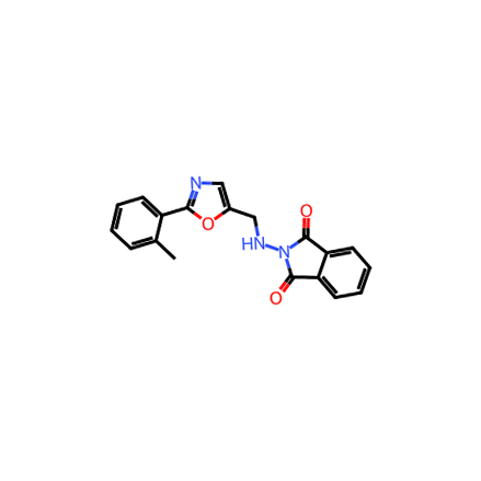 Cc1ccccc1-c1ncc(CNN2C(=O)c3ccccc3C2=O)o1